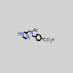 CC(=O)N(CC1=CNC=C=N1)Cc1ccc(C(=O)O)cc1